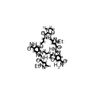 CCn1nc(C)cc1C(=O)Nc1nc2cc(C(N)=O)cc(OCCCNC(=O)C3COCCN3C)c2n1CCC[C@H]1COc2cc(C(N)=O)cc3nc(NC(=O)c4cc(C)nn4CC)n1c23